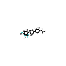 CCC[C@H]1CC[C@H]([C@H]2CC[C@H](c3ccc(F)c(F)c3F)CC2)CC1